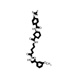 COc1cccc(C2=CNN(C(=O)CCCCNC(=O)C3CCC[C@H](NC(=O)c4ccc(OC(F)(F)F)cc4)C3)O2)c1